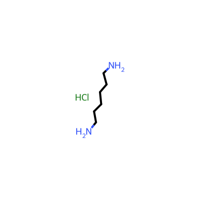 Cl.NCCCCCCN